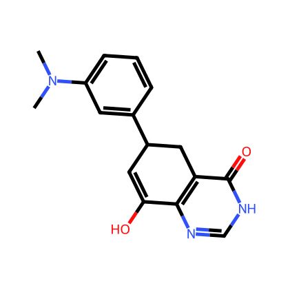 CN(C)c1cccc(C2C=C(O)c3nc[nH]c(=O)c3C2)c1